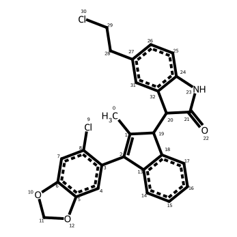 CC1=C(c2cc3c(cc2Cl)OCO3)c2ccccc2C1C1C(=O)Nc2ccc(CCCl)cc21